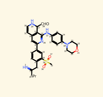 CCCC(=N)Cc1ccc(-c2cc3c(c(Nc4ccc(N5CCOCC5)cc4)n2)C(C=O)NC=C3)cc1S(C)(=O)=O